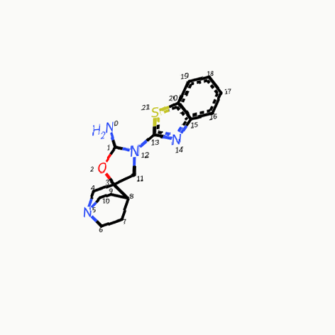 NC1OC2(CN3CCC2CC3)CN1c1nc2ccccc2s1